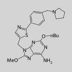 CCCCOc1nc(N)c2nc(OC)n(Cc3cnc(-c4ccc(CN5CCCC5)cc4)s3)c2n1